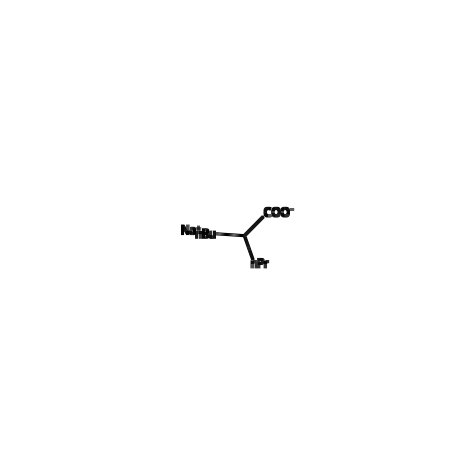 CCCCC(CCC)C(=O)[O-].[Na+]